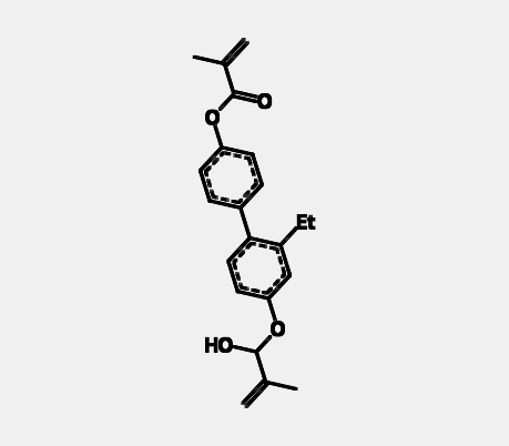 C=C(C)C(=O)Oc1ccc(-c2ccc(OC(O)C(=C)C)cc2CC)cc1